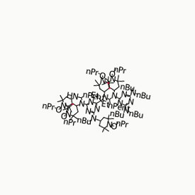 CCCCCC(NC1CC(C)(C)N(OCCC)C(C)(C)C1)N(c1nc(N(CCCC)C2CC(C)(C)N(OCCC)C(C)(C)C2)nc(C(CC)(CC)N(C2CC(C)(C)N(OCCC)C(C)(C)C2)C(CCCCC)N(c2nc(N(CCCC)CCCC)nc(N(CCCC)CCCC)n2)C2CC(C)(C)N(OCCC)C(C)(C)C2)n1)C1CC(C)(C)N(OCCC)C(C)(C)C1